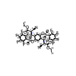 CCOC(=O)/C(C#N)=C/c1cc(OS(=O)(=O)c2c(F)c(F)c(F)c(F)c2F)c(/C=C(\C#N)C(=O)OCC)cc1OS(=O)(=O)c1c(F)c(F)c(F)c(F)c1F